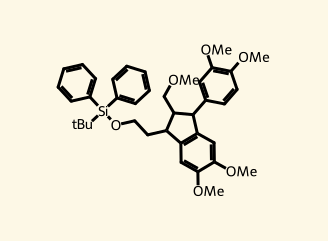 COCC1C(CCO[Si](c2ccccc2)(c2ccccc2)C(C)(C)C)c2cc(OC)c(OC)cc2C1c1ccc(OC)c(OC)c1